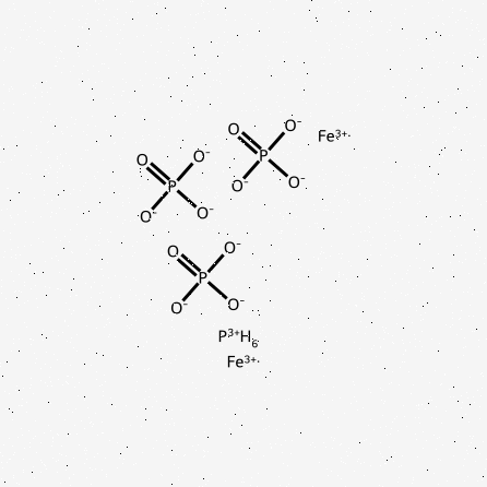 O=P([O-])([O-])[O-].O=P([O-])([O-])[O-].O=P([O-])([O-])[O-].[Fe+3].[Fe+3].[PH6+3]